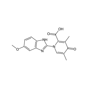 COc1ccc2[nH]c(-n3cc(C)c(=O)c(C)c3C(=O)O)nc2c1